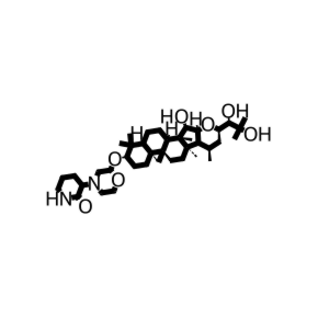 C[C@@H]1C[C@H]([C@H](O)C(C)(C)O)O[C@H]2C1[C@@]1(C)CC[C@@]34C[C@@]35CC[C@H](OC3CN(C6CCCNC6=O)CCO3)C(C)(C)[C@@H]5CC[C@H]4[C@]1(C)[C@H]2O